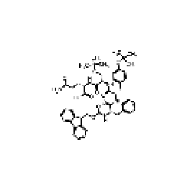 CC(C)(C)OC[C@H](NC(=O)[C@H](Cc1ccc(OC(C)(C)C)cc1)NC(=O)[C@H](Cc1ccccc1)NC(=O)OCC1c2ccccc2-c2ccccc21)C(=O)N[C@@H](CCC(N)=O)C(=O)O